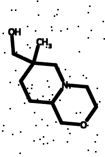 CC1(CO)CCC2COCCN2C1